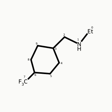 CCNCC1CCC(C(F)(F)F)CC1